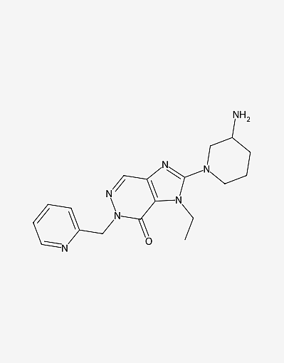 CCn1c(N2CCCC(N)C2)nc2cnn(Cc3ccccn3)c(=O)c21